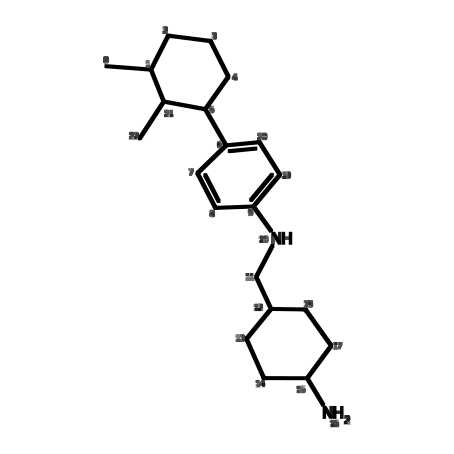 CC1CCCC(c2ccc(NCC3CCC(N)CC3)cc2)C1C